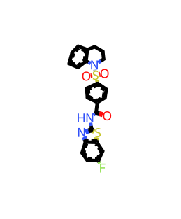 O=C(Nc1nc2ccc(F)cc2s1)c1ccc(S(=O)(=O)N2CCCc3ccccc32)cc1